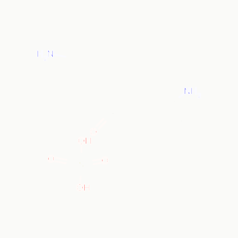 Nc1cccc(C(=O)c2cccc(N)c2)c1.O=S(=O)(O)O